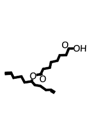 C=CCCCC(CCCC=C)OC(=O)CCCCCCC(=O)O